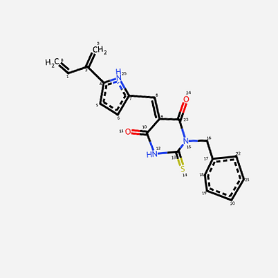 C=CC(=C)c1ccc(/C=C2\C(=O)NC(=S)N(Cc3ccccc3)C2=O)[nH]1